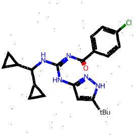 CC(C)(C)c1cc(N/C(=N\C(=O)c2ccc(Cl)cc2)NC(C2CC2)C2CC2)n[nH]1